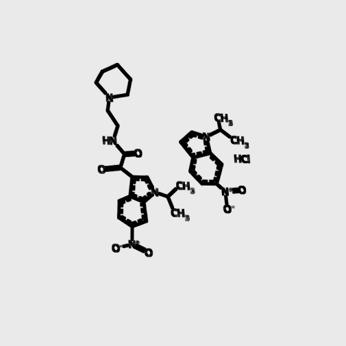 CC(C)n1cc(C(=O)C(=O)NCCN2CCCCC2)c2ccc([N+](=O)[O-])cc21.CC(C)n1ccc2ccc([N+](=O)[O-])cc21.Cl